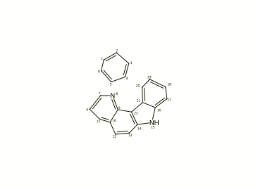 c1ccccc1.c1cnc2c(c1)ccc1[nH]c3ccccc3c12